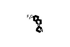 FC(F)(F)c1ccc2c(c1)CN(c1cccnc1)C=C2